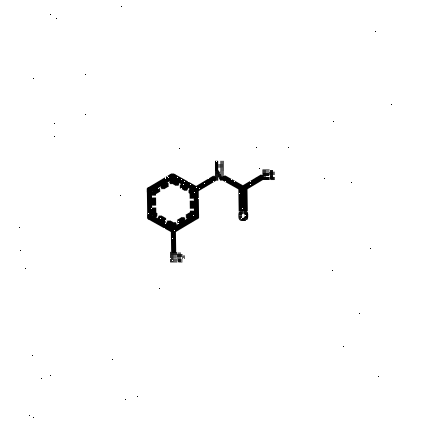 C[CH]c1cccc(NC(=O)CC)c1